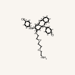 NCCOCCOCCN=c1cc2n(-c3ccc(Cl)cc3)c3ccccc3nc-2cc1Nc1ccc(Cl)cc1